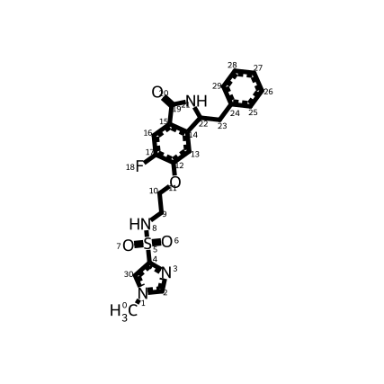 Cn1cnc(S(=O)(=O)NCCOc2cc3c(cc2F)C(=O)NC3Cc2ccccc2)c1